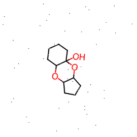 OC12CCCCC1OC1CCCC1O2